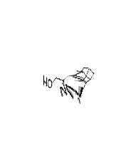 Cn1nc(CO)c2c1C1CC(C2)C1(C)C